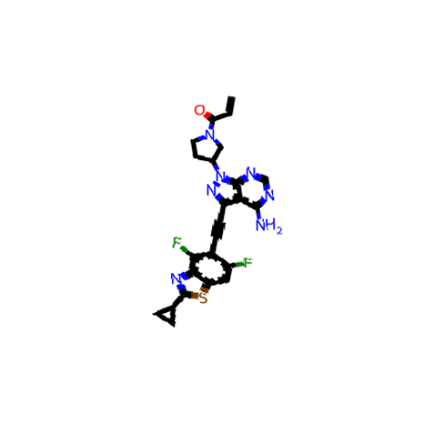 C=CC(=O)N1CCC(n2nc(C#Cc3c(F)cc4sc(C5CC5)nc4c3F)c3c(N)ncnc32)C1